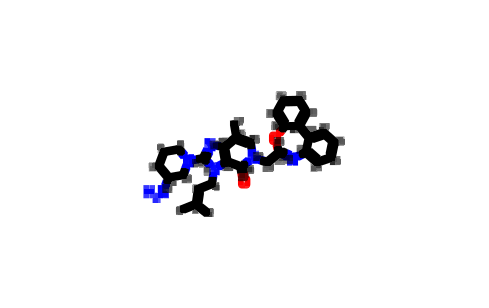 CC(C)=CCn1c(N2CCCC(N)C2)nc2c(C)cn(CC3=Nc4ccccc4-c4ccccc4O3)c(=O)c21